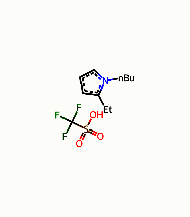 CCCCn1cccc1CC.O=S(=O)(O)C(F)(F)F